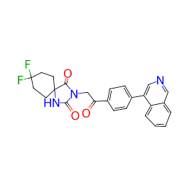 O=C(CN1C(=O)NC2(CCC(F)(F)CC2)C1=O)c1ccc(-c2cncc3ccccc23)cc1